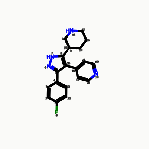 Fc1ccc(-c2n[nH]c([C@@H]3CCCNC3)c2-c2ccncc2)cc1